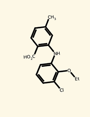 CCOc1c(Cl)cccc1Nc1cc(C)ccc1C(=O)O